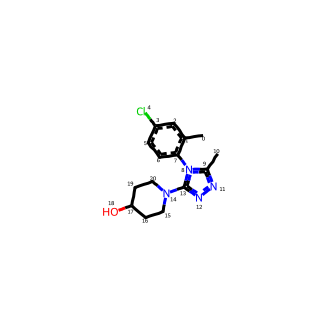 Cc1cc(Cl)ccc1-n1c(C)nnc1N1CCC(O)CC1